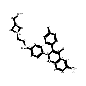 CC1=C(c2ccc(C)cc2)[C@H](c2ccc(OCCN3CC(CF)C3)cc2)Oc2ccc(O)cc21